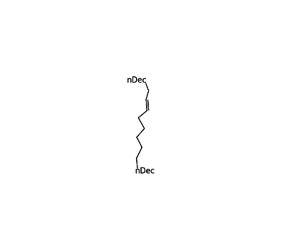 [CH2]CCCCCCCCCCC=CCCCCCCCCCCCCCC[CH2]